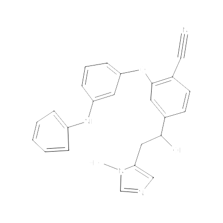 Cn1cncc1CC(O)c1ccc(C#N)c(Oc2cccc(Nc3ccccc3)c2)c1